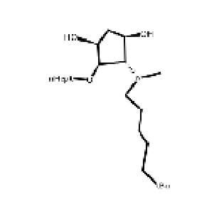 CCCCCCCO[C@@H]1[C@@H](N(C)CCCCCC(C)(C)C)[C@H](O)C[C@@H]1O